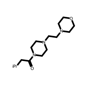 CC(C)CC(=O)N1CCN(CCN2CCOCC2)CC1